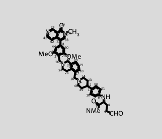 CNC(=O)C(CCC=O)Nc1ccc(C2CCN(Cc3cccc4c3CCN(Cc3c(OC)cc(-c5cn(C)c(=O)c6cnccc56)cc3OC)C4)CC2)cc1